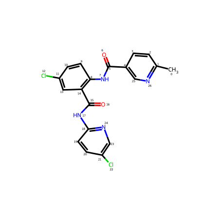 Cc1ccc(C(=O)Nc2ccc(Cl)cc2C(=O)Nc2ccc(Cl)cn2)cn1